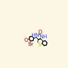 COc1ccc(C2NC(=O)NC3=C2CSc2ccccc23)cc1Br